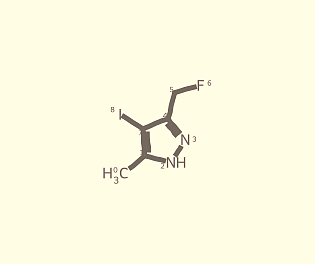 Cc1[nH]nc(CF)c1I